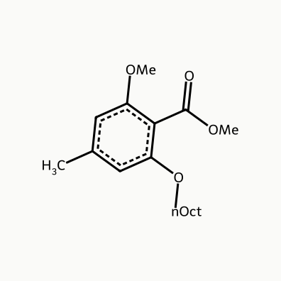 CCCCCCCCOc1cc(C)cc(OC)c1C(=O)OC